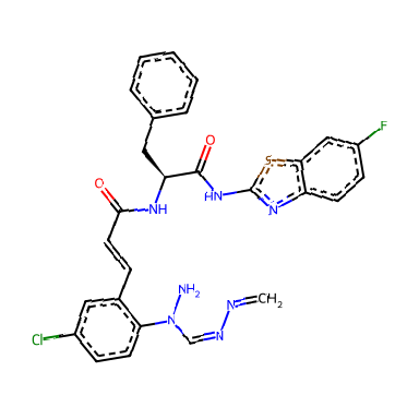 C=N/N=C\N(N)c1ccc(Cl)cc1/C=C/C(=O)N[C@@H](Cc1ccccc1)C(=O)Nc1nc2ccc(F)cc2s1